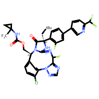 CC(C)(C)C[C@]1(c2ccc(-c3ccc(C(F)F)nc3)cc2F)N/C2=N\C(F)c3ncnn3-c3cc(ccc3Cl)[C@@H](COC(=O)NC3(C(F)(F)F)CC3)N2C1=O